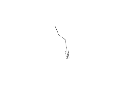 [C]#CCC[CH2]